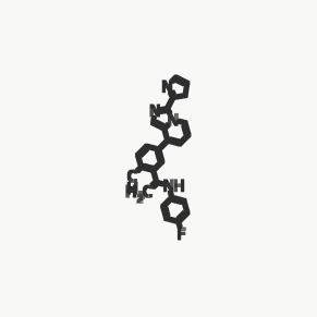 C=C(Nc1ccc(F)cc1)c1cc(-c2cccn3c(C4=NC=CC4)ncc23)ccc1C